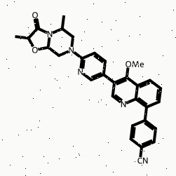 COc1c(-c2ccc(N3CC(C)N4C(=O)C(C)OC4C3)nc2)cnc2c(-c3ccc(C#N)cc3)cccc12